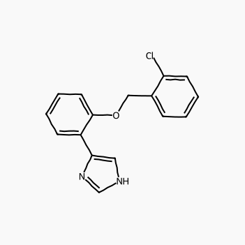 Clc1ccccc1COc1ccccc1-c1c[nH]cn1